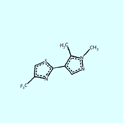 [CH2]c1c(-c2nc(C(F)(F)F)cs2)cnn1C